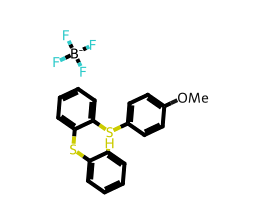 COc1ccc([SH]2c3ccccc3Sc3ccccc32)cc1.F[B-](F)(F)F